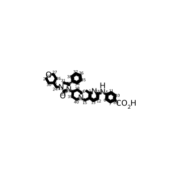 Cc1nc(Nc2ccc(C(=O)O)cc2)ccc1CN1CCC(N2C(=O)N(CC3CCOCC3)C[C@H]2c2ccccc2)CC1